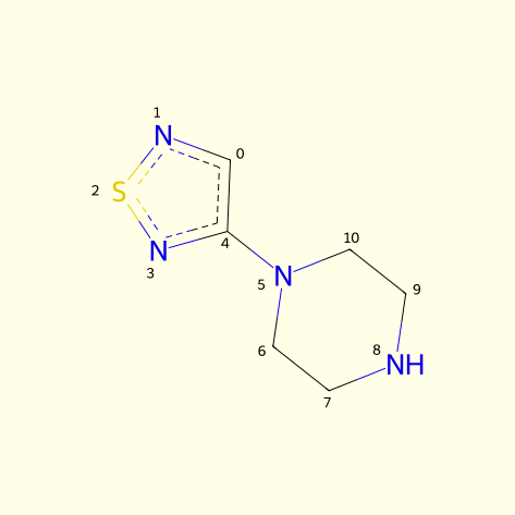 c1nsnc1N1CCNCC1